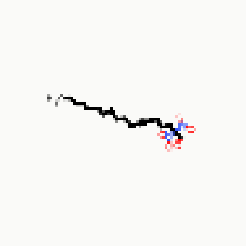 CCCCCCCCCCCC#CCCCC([C]=O)([N+](=O)[O-])[N+](=O)[O-]